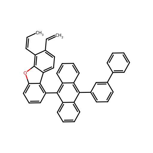 C=Cc1ccc2c(oc3cccc(-c4c5ccccc5c(-c5cccc(-c6ccccc6)c5)c5ccccc45)c32)c1/C=C\C